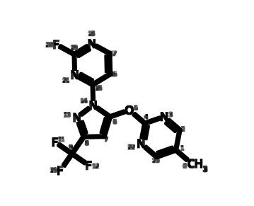 Cc1cnc(Oc2cc(C(F)(F)F)nn2-c2ccnc(F)n2)nc1